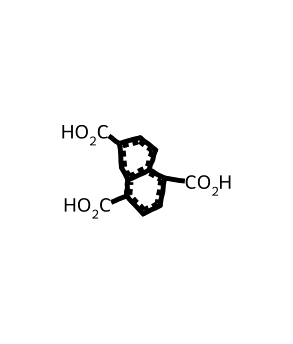 O=C(O)c1ccc2c(C(=O)O)ccc(C(=O)O)c2c1